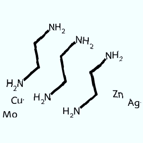 NCCN.NCCN.NCCN.[Ag].[Cu].[Mo].[Zn]